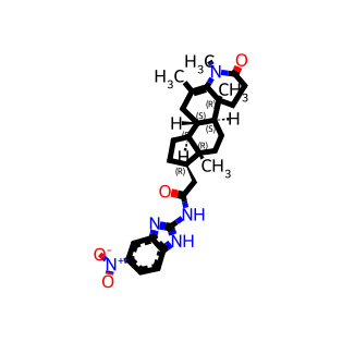 CC1=C2N(C)C(=O)CC[C@]2(C)[C@H]2CC[C@]3(C)[C@@H](CC(=O)Nc4nc5cc([N+](=O)[O-])ccc5[nH]4)CC[C@H]3[C@@H]2C1